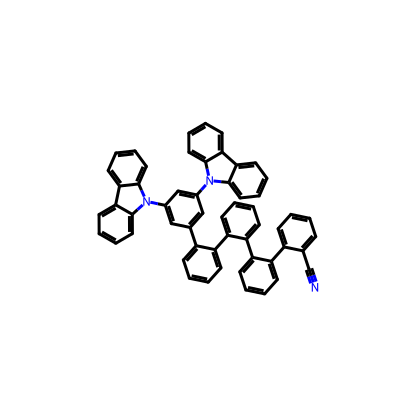 N#Cc1ccccc1-c1ccccc1-c1ccccc1-c1ccccc1-c1cc(-n2c3ccccc3c3ccccc32)cc(-n2c3ccccc3c3ccccc32)c1